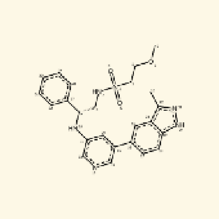 COCCS(=O)(=O)NC[C@H](Nc1cncc(-c2ccc3[nH]nc(C)c3c2)c1)c1ccccc1